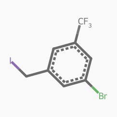 FC(F)(F)c1cc(Br)cc(CI)c1